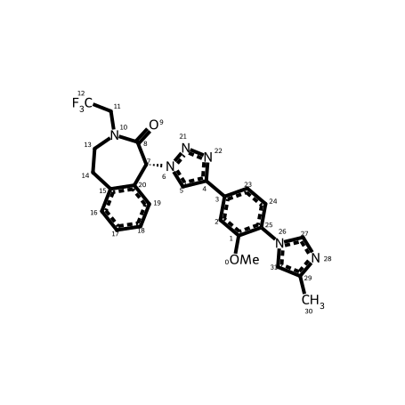 COc1cc(-c2cn([C@H]3C(=O)N(CC(F)(F)F)CCc4ccccc43)nn2)ccc1-n1cnc(C)c1